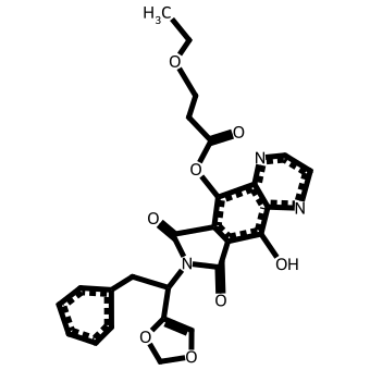 CCOCCC(=O)Oc1c2c(c(O)c3nccnc13)C(=O)N(C(Cc1ccccc1)C1=COCO1)C2=O